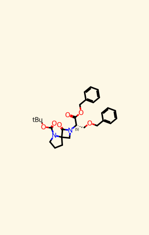 CC(C)(C)OC(=O)N1CCCC12CN([C@@H](COCc1ccccc1)C(=O)OCc1ccccc1)C2=O